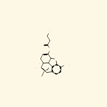 COc1ccc2c3c1O[C@@H]1C(OC(=O)CCN)=CC[C@]4(O)[C@H](C2)N(C)CC[C@@]314